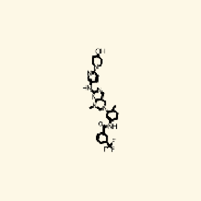 Cc1ccc(NC(=O)c2cccc(C(F)(F)F)c2)cc1N1Cc2cnc(Nc3ccc(N4CCC(O)CC4)nc3)nc2N(C)C1